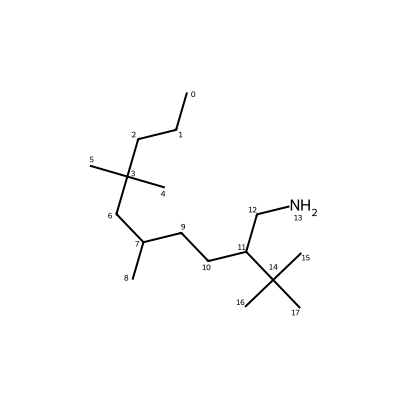 CCCC(C)(C)CC(C)CCC(CN)C(C)(C)C